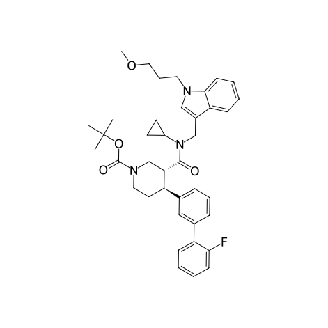 COCCCn1cc(CN(C(=O)[C@H]2CN(C(=O)OC(C)(C)C)CC[C@@H]2c2cccc(-c3ccccc3F)c2)C2CC2)c2ccccc21